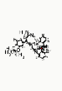 CC(C)(C)Oc1cc(F)cc(-c2cc(N)ncncn(Cc3nc4cccc(Br)c4c(=O)n3Cc3ccccc3C(F)(F)F)n2)c1